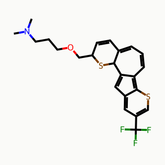 CN(C)CCCOCC1C=CC2=CC=Cc3c(cc4cc(C(F)(F)F)csc3-4)C2S1